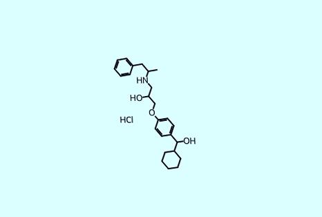 CC(Cc1ccccc1)NCC(O)COc1ccc(C(O)C2CCCCC2)cc1.Cl